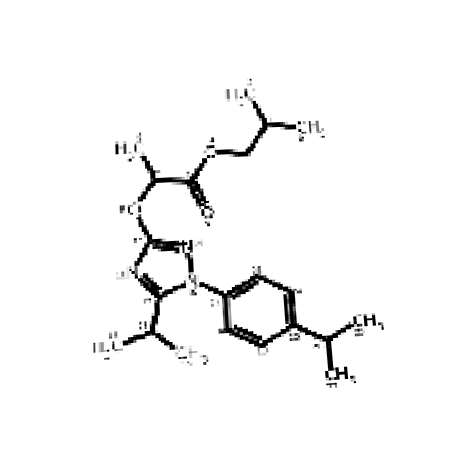 CC(C)COC(=O)C(C)Oc1nc(C(C)C)n(-c2ccc(C(C)C)cc2)n1